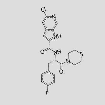 O=C(N[C@@H](Cc1ccc(F)cc1)C(=O)N1CCSCC1)c1cc2cc(Cl)ncc2[nH]1